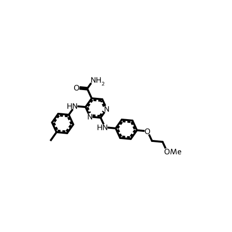 COCCOc1ccc(Nc2ncc(C(N)=O)c(Nc3ccc(C)cc3)n2)cc1